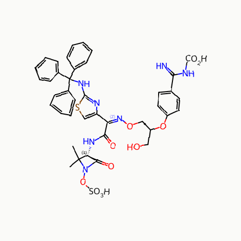 CC1(C)[C@H](NC(=O)/C(=N\OCC(CO)Oc2ccc(C(=N)NC(=O)O)cc2)c2csc(NC(c3ccccc3)(c3ccccc3)c3ccccc3)n2)C(=O)N1OS(=O)(=O)O